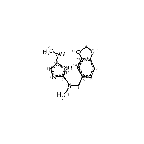 CNc1nnc(N(C)Cc2ccc3c(c2)OCO3)[nH]1